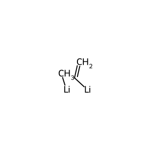 [Li][CH3].[Li][CH]=C